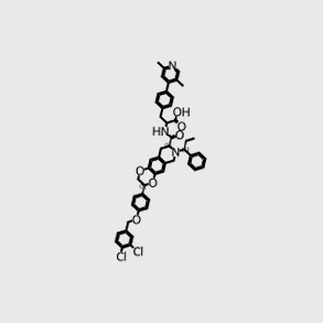 CC[C@@H](c1ccccc1)N1Cc2cc3c(cc2C[C@H]1C(=O)NC(Cc1ccc(-c2cc(C)ncc2C)cc1)C(=O)O)OC[C@H](c1ccc(OCc2ccc(Cl)c(Cl)c2)cc1)O3